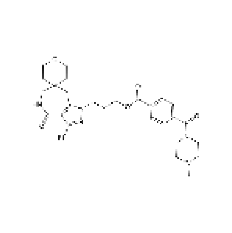 CCc1nn(CCCOC(=O)c2ccc(C(=O)N3CCN(C)CC3)cc2)c2c1C(=O)NCC1(CCOCC1)C2